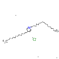 CCCCCCCC/C=C\CCCCCCCC[n+]1ccc(CCCCCCCCCCCCCCC)cc1.[Cl-]